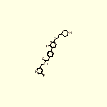 O=C(Cc1ccc(-c2cnc(OCCN3CCNCC3)nc2F)cc1)NCc1cncc(F)c1